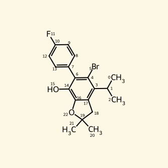 CC(C)c1c(Br)c(-c2ccc(F)cc2)c(O)c2c1CC(C)(C)O2